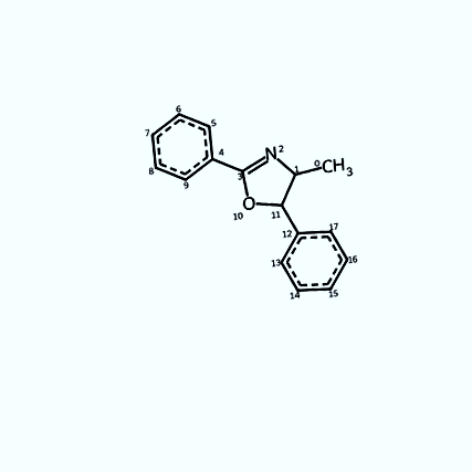 CC1N=C(c2ccccc2)OC1c1ccccc1